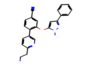 Cn1nc(-c2ccccc2)cc1Oc1cc(C#N)ccc1-c1ccc(CCN)nc1